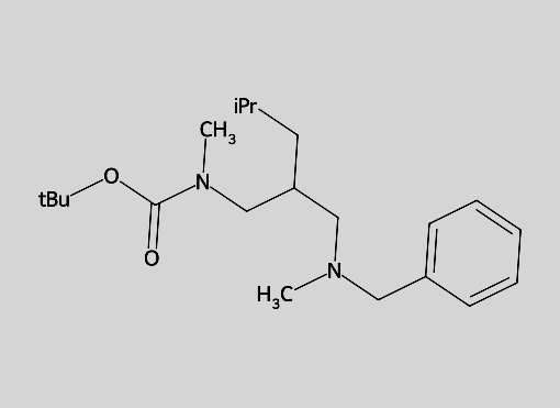 CC(C)CC(CN(C)Cc1ccccc1)CN(C)C(=O)OC(C)(C)C